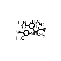 CC(=O)N1c2ccc(C(N)=O)cc2[C@H](Nc2ccc(C#N)c(C)c2)[C@@H](C)C1C1CC1